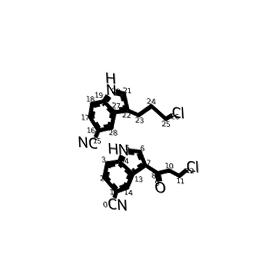 N#Cc1ccc2[nH]cc(C(=O)CCCl)c2c1.N#Cc1ccc2[nH]cc(CCCCl)c2c1